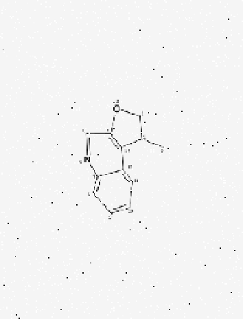 CC1COc2cnc3ccccc3c21